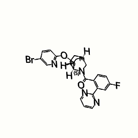 O=C(c1ccc(F)cc1-c1ncccn1)N1C[C@@H]2CC[C@H]1[C@H](Oc1ccc(Br)cn1)C2